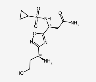 NC(=O)C[C@H](NS(=O)(=O)C1CC1)c1nc([C@@H](N)CCO)no1